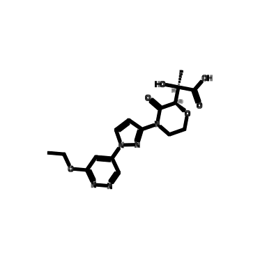 CCOc1cc(-n2ccc(N3CCO[C@H]([C@@](C)(O)C(=O)O)C3=O)n2)cnn1